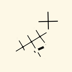 CC(C)(C)OC(F)(F)C(F)(C(F)(F)F)S(=O)(=O)O